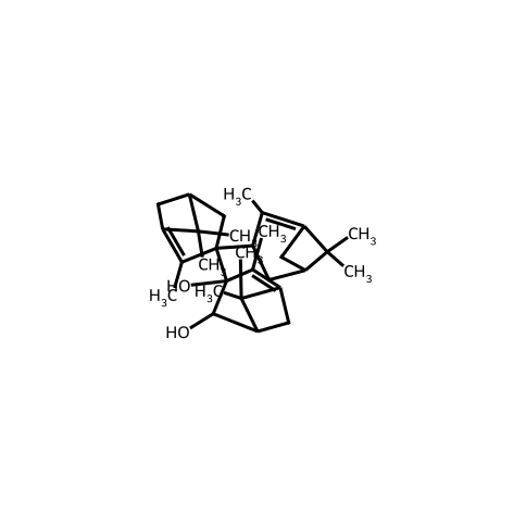 CC1=C2CC(CC1C1(C3(O)C(C)=C4CC(C3O)C4(C)C)CC3CC(=C1C)C3(C)C)C2(C)C